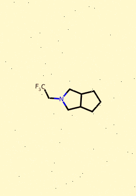 FC(F)(F)CN1CC2CCCC2C1